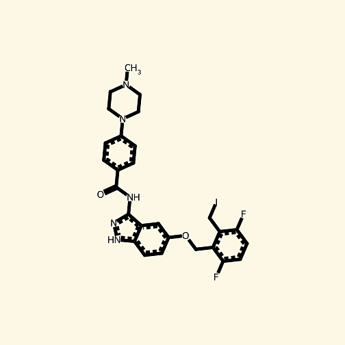 CN1CCN(c2ccc(C(=O)Nc3n[nH]c4ccc(OCc5c(F)ccc(F)c5CI)cc34)cc2)CC1